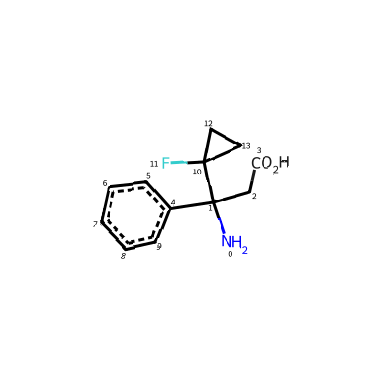 NC(CC(=O)O)(c1ccccc1)C1(F)CC1